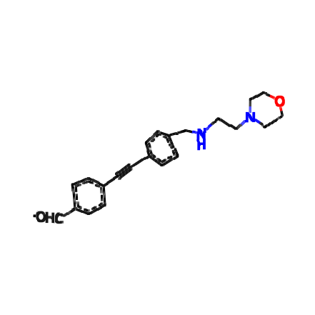 O=[C]c1ccc(C#Cc2ccc(CNCCN3CCOCC3)cc2)cc1